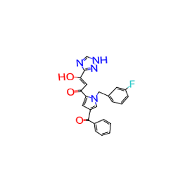 O=C(c1ccccc1)c1cc(C(=O)C=C(O)c2nc[nH]n2)n(Cc2cccc(F)c2)c1